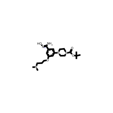 CN(C)CCCOc1cc(/C(N)=N/O)cc(N2CCN(C(=O)OC(C)(C)C)CC2)c1